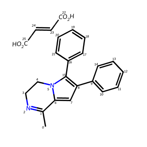 CC1=NCCn2c1cc(-c1ccccc1)c2-c1ccccc1.O=C(O)C=CC(=O)O